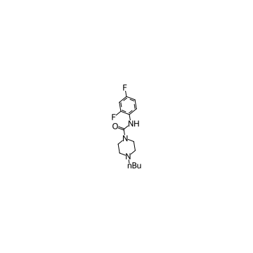 CCCCN1CCN(C(=O)Nc2ccc(F)cc2F)CC1